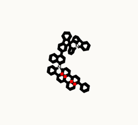 c1ccc(-c2ccc(-c3ccc(N(c4ccccc4-c4ccc(-c5ccccc5)cc4)c4ccc(-c5ccc6c(c5)C5(c7ccccc7-6)c6ccccc6-n6c7ccccc7c7cccc5c76)c5ccccc45)cc3)cc2)cc1